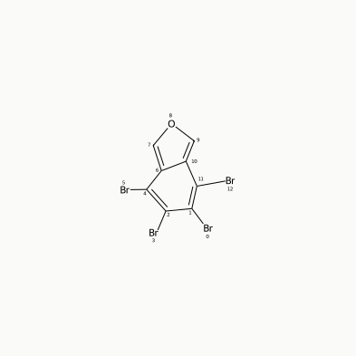 Brc1c(Br)c(Br)c2cocc2c1Br